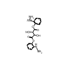 NNc1ccccc1OC(=O)C(O)C(O)C(=O)Oc1ccccc1NN